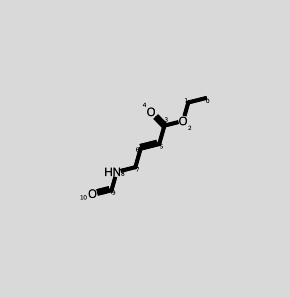 CCOC(=O)/C=C/CN[C]=O